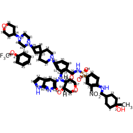 CC1(O)CCC(CNc2ccc(S(=O)(=O)NC(=O)c3ccc(N4CCC5(CC4)CC(N4CCN(C6CCOCC6)C[C@H]4c4ccccc4OC(F)(F)F)C5)cc3N3c4cc5cc[nH]c5nc4O[C@H]4COCC[C@@H]43)cc2[N+](=O)[O-])CC1